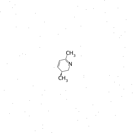 CC1=NC[C@@H](C)C=C1